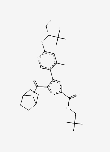 CC[C@H](Nc1cc(C)c(-c2sc(C(=O)NCC(C)(C)O)nc2C(=O)N2C3CCC2CC3)cn1)C(F)(F)F